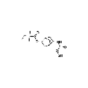 CCC(C)(C)C(=O)OC1CC2CC1CC2NC(=O)OS